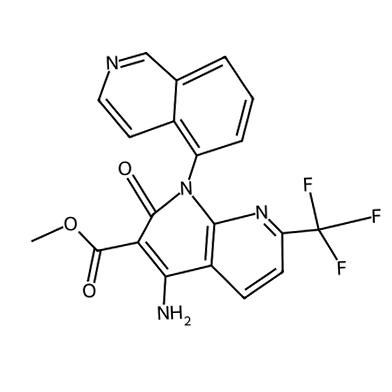 COC(=O)c1c(N)c2ccc(C(F)(F)F)nc2n(-c2cccc3cnccc23)c1=O